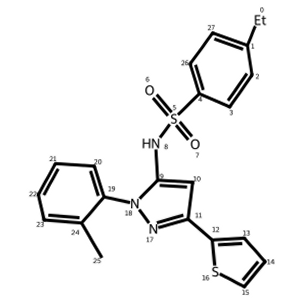 CCc1ccc(S(=O)(=O)Nc2cc(-c3cccs3)nn2-c2ccccc2C)cc1